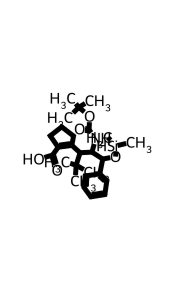 C[SiH](C)OC(c1ccccc1)C(NC(=O)OC(C)(C)C)C(C1=C(C(=O)O)CCC1)C(C)(C)C